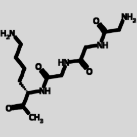 CC(=O)[C@H](CCCCN)NC(=O)CNC(=O)CNC(=O)CN